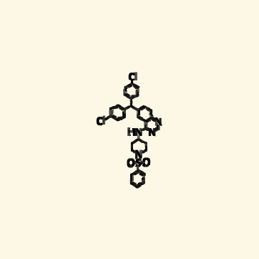 O=S(=O)(c1ccccc1)N1CCC(Nc2ncnc3ccc(C(c4ccc(Cl)cc4)c4ccc(Cl)cc4)cc23)CC1